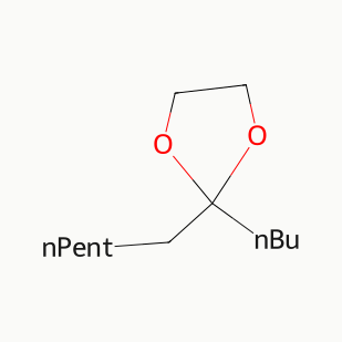 CCCCCCC1(CCCC)OCCO1